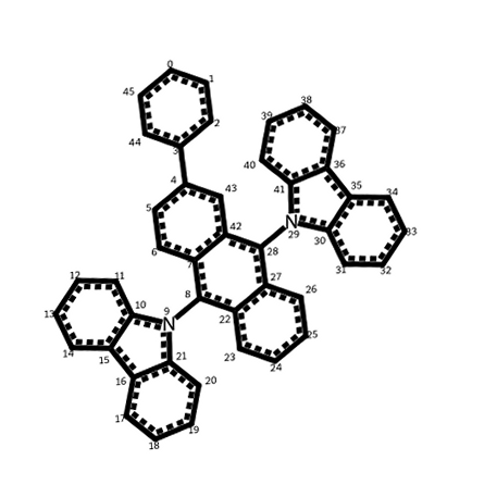 c1ccc(-c2ccc3c(-n4c5ccccc5c5ccccc54)c4ccccc4c(-n4c5ccccc5c5ccccc54)c3c2)cc1